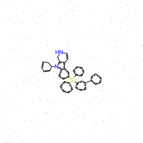 C1=CCC(n2c3c(c4cc(S(c5ccccc5)(c5ccccc5)c5cccc(-c6ccccc6)c5)ccc42)C=CNC3)C=C1